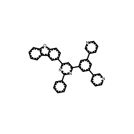 c1ccc(-c2nc(-c3cc(-c4cccnc4)cc(-c4cccnc4)c3)cc(-c3ccc4oc5ccccc5c4c3)n2)cc1